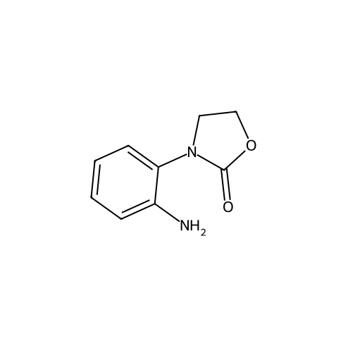 Nc1ccccc1N1CCOC1=O